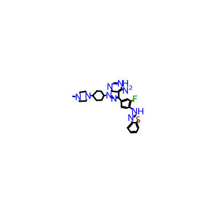 CN1CCN(C2CCC(n3nc(-c4ccc(Nc5nc6ccccc6s5)c(F)c4)c4c(N)ncnc43)CC2)CC1